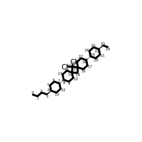 CCCC[C@H]1CC[C@H](C2CCC3(CC2)CC2(CCC([C@H]4CC[C@H](CC)CC4)CC2)C3(Cl)Cl)CC1